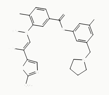 CNc1ncc(/C(N)=C/N(N)c2cc(C(=O)Nc3cc(CN4CCCC4)cc(C(F)(F)F)c3)ccc2C)s1